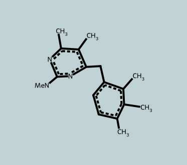 CNc1nc(C)c(C)c(Cc2ccc(C)c(C)c2C)n1